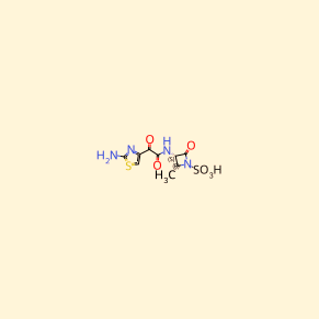 C[C@@H]1[C@H](NC(=O)C(=O)c2csc(N)n2)C(=O)N1S(=O)(=O)O